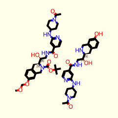 CC(=O)N1CCC(Nc2cc(C(=O)NC[C@@H](O)[C@@H]3Cc4ccc(O)cc4CN3)ccn2)CC1.COCOc1ccc2c(c1)CN(C(=O)OC(C)(C)C)[C@H]([C@H](O)CNC(=O)c1ccnc(NC3CCN(C(C)=O)CC3)c1)C2